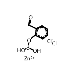 O=Cc1ccccc1OB(O)O.[Cl-].[Cl-].[Zn+2]